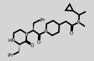 CC(C)C[C@@H]1NCCN([C@@H](CC(C)C)C(=O)N2CCC(CC(=O)N(C)C(C)C3CC3)CC2)C1=O